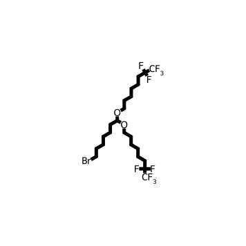 FC(F)(F)C(F)(F)CCCCCCOC(CCCCCCBr)OCCCCCCC(F)(F)C(F)(F)F